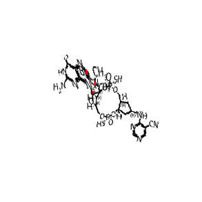 CC(C)(C)[Si](C)(C)O[C@H]1[C@H]2O[P@](=O)(S)OC[C@H]3C[C@@H](Nc4ncncc4C#N)C[C@@H]3O[P@](=O)(S)OC[C@H]1O[C@H]2n1cnc2c(=O)[nH]c(N)nc21